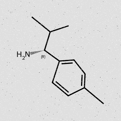 Cc1ccc([C@H](N)C(C)C)cc1